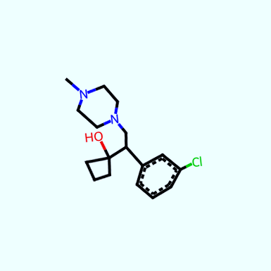 CN1CCN(CC(c2cccc(Cl)c2)C2(O)CCC2)CC1